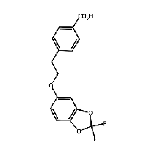 O=C(O)c1ccc(CCOc2ccc3c(c2)OC(F)(F)O3)cc1